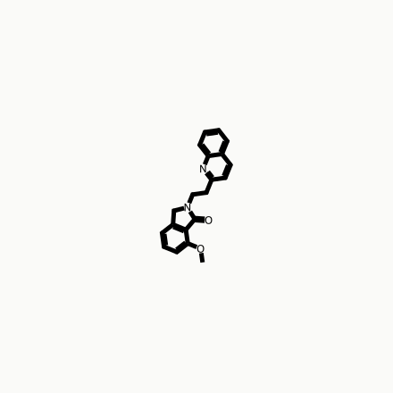 COc1cccc2c1C(=O)N(CCc1ccc3ccccc3n1)C2